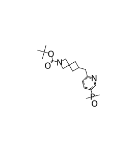 CC(C)(C)OC(=O)N1CC2(CC(Cc3ccc(P(C)(C)=O)cn3)C2)C1